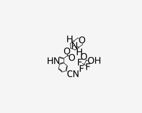 CN1[C@@H]2COC[C@H]1C[C@@H](OC(=O)c1c[nH]c3ccc(C#N)cc13)C2.O=C(O)C(F)(F)F